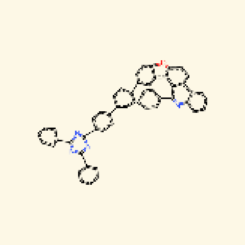 c1ccc(-c2nc(-c3ccccc3)nc(-c3ccc(-c4ccc(-c5ccc6oc7ccc8c9ccccc9nc(-c9ccccc9)c8c7c6c5)cc4)cc3)n2)cc1